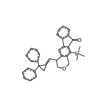 C[Si](C)(C)c1c2c(cc3c1C(=O)c1ccccc1-3)C(C=C1CC1(c1ccccc1)c1ccccc1)COC2